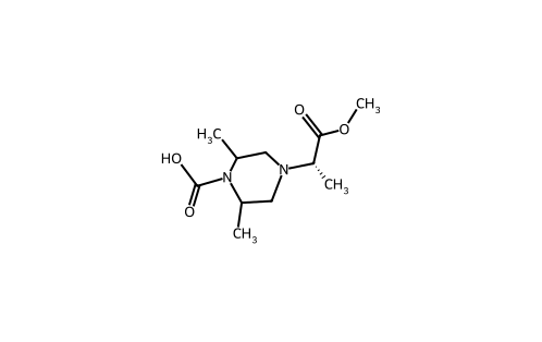 COC(=O)[C@H](C)N1CC(C)N(C(=O)O)C(C)C1